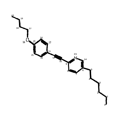 CCCCCCc1ccc(C#Cc2ccc(OCCCC)cc2)nc1